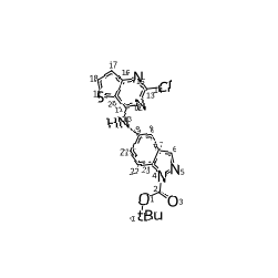 CC(C)(C)OC(=O)n1ncc2cc(Nc3nc(Cl)nc4ccsc34)ccc21